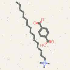 CCCCCCCCCCCCCCCC[N+](C)(C)C.O=C([O-])c1ccc(C(=O)O)cc1